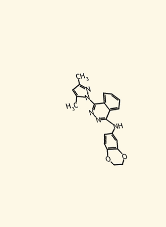 Cc1cc(C)n(-c2nnc(Nc3ccc4c(c3)OCCO4)c3ccccc23)n1